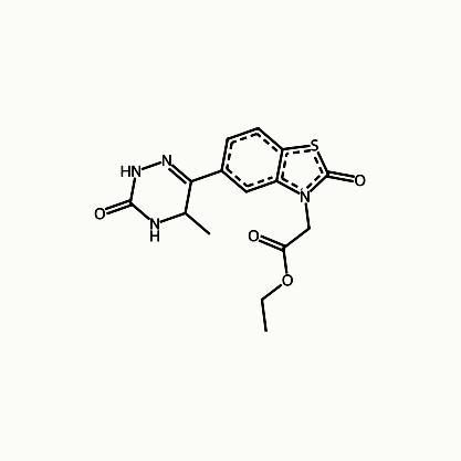 CCOC(=O)Cn1c(=O)sc2ccc(C3=NNC(=O)NC3C)cc21